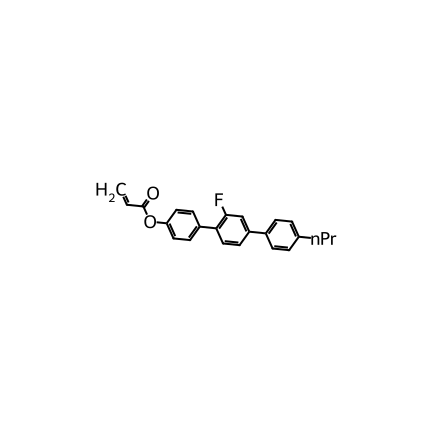 C=CC(=O)Oc1ccc(-c2ccc(-c3ccc(CCC)cc3)cc2F)cc1